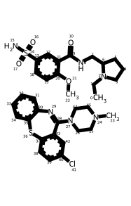 CCN1CCCC1CNC(=O)c1cc(S(N)(=O)=O)ccc1OC.CN1CCN(C2=Nc3ccccc3Sc3ccc(Cl)cc32)CC1